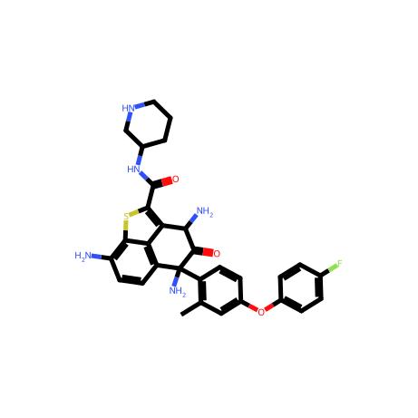 Cc1cc(Oc2ccc(F)cc2)ccc1C1(N)C(=O)C(N)c2c(C(=O)NC3CCCNC3)sc3c(N)ccc1c23